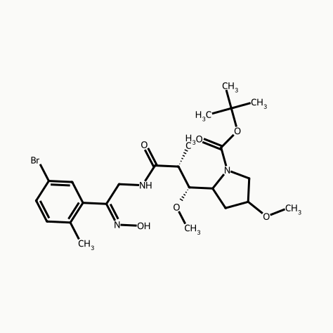 COC1CC([C@H](OC)[C@@H](C)C(=O)NCC(=NO)c2cc(Br)ccc2C)N(C(=O)OC(C)(C)C)C1